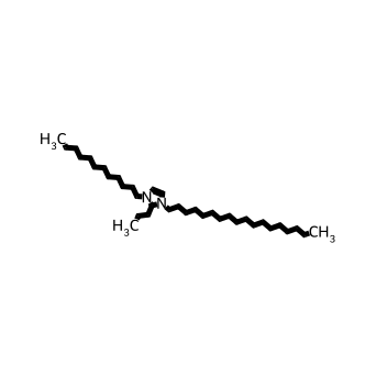 CCCCCCCCCCCCCCCCCCN1C=CN(CCCCCCCCCCCC)C1CCC